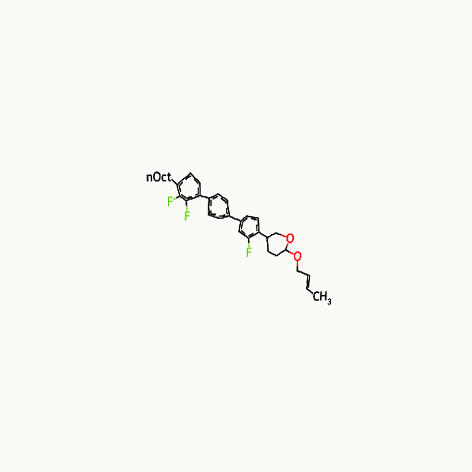 C/C=C/COC1CCC(c2ccc(-c3ccc(-c4ccc(CCCCCCCC)c(F)c4F)cc3)cc2F)CO1